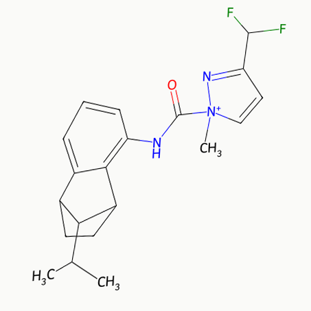 CC(C)C1C2CCC1c1c(NC(=O)[N+]3(C)C=CC(C(F)F)=N3)cccc12